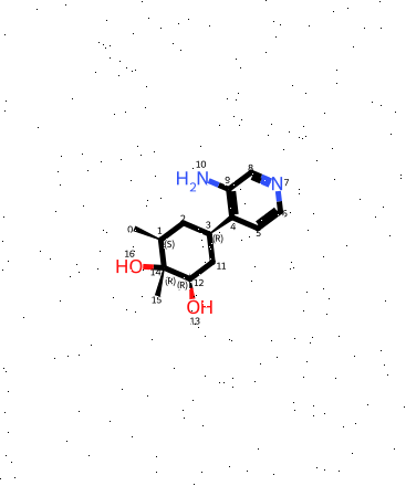 C[C@H]1C[C@@H](c2ccncc2N)C[C@@H](O)[C@]1(C)O